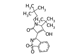 CC(C)(C)CCN1C(=O)C(C2=NS(=O)(=O)c3ccccc32)=C(O)C1C(C)(C)C